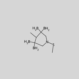 BC1(B)CN(SC)CC(B)(B)C1C